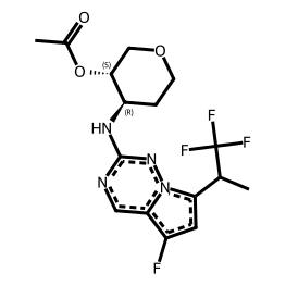 CC(=O)O[C@@H]1COCC[C@H]1Nc1ncc2c(F)cc(C(C)C(F)(F)F)n2n1